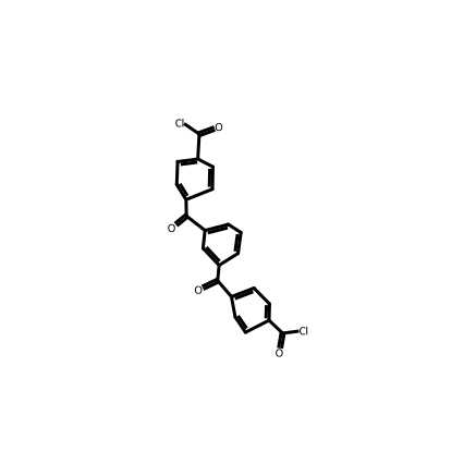 O=C(Cl)c1ccc(C(=O)c2cccc(C(=O)c3ccc(C(=O)Cl)cc3)c2)cc1